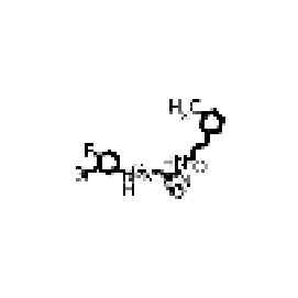 Cc1cccc(CCC(=O)Nc2nonc2/C=N/ONc2ccc(F)c(Br)c2)c1